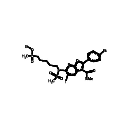 CCOP(C)(=O)CCCCCN(c1nc2oc(-c3ccc(CC)cc3)c(C(=O)NC)c2cc1I)S(C)(=O)=O